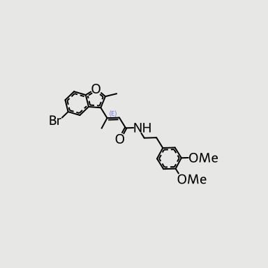 COc1ccc(CCNC(=O)/C=C(\C)c2c(C)oc3ccc(Br)cc23)cc1OC